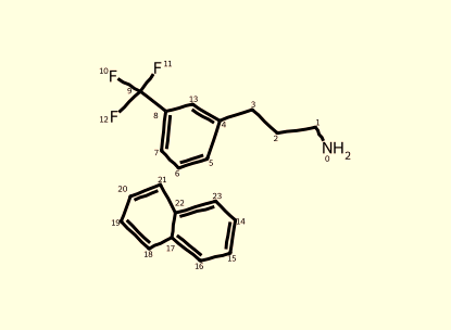 NCCCc1cccc(C(F)(F)F)c1.c1ccc2ccccc2c1